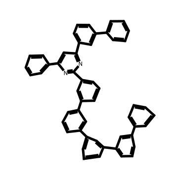 c1ccc(-c2cccc(-c3cccc(-c4cccc(-c5cccc(-c6nc(-c7ccccc7)cc(-c7cccc(-c8ccccc8)c7)n6)c5)c4)c3)c2)cc1